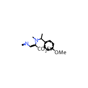 C=N/C=C(/C(=O)OCC)N(C)C(C)c1ccc(OC)cc1